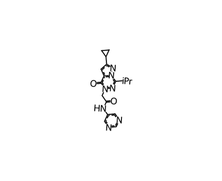 CC(C)c1nn(CC(=O)Nc2cncnc2)c(=O)c2cc(C3CC3)nn12